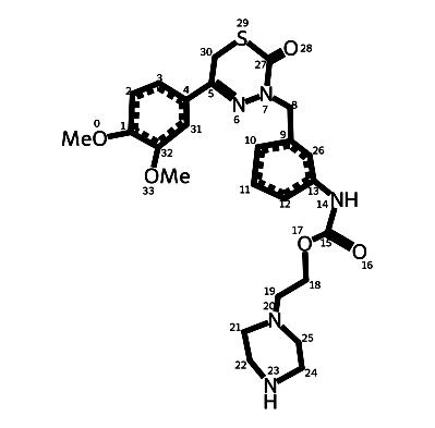 COc1ccc(C2=NN(Cc3cccc(NC(=O)OCCN4CCNCC4)c3)C(=O)SC2)cc1OC